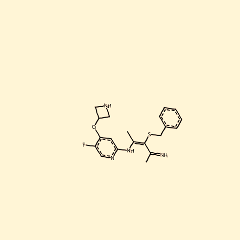 CC(=N)/C(SCc1ccccc1)=C(/C)Nc1cc(OC2CNC2)c(F)cn1